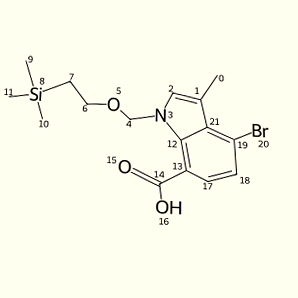 Cc1cn(COCC[Si](C)(C)C)c2c(C(=O)O)ccc(Br)c12